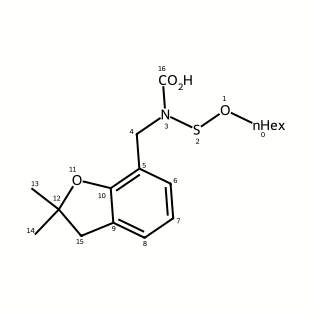 CCCCCCOSN(Cc1cccc2c1OC(C)(C)C2)C(=O)O